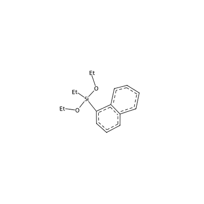 CCO[Si](CC)(OCC)c1cccc2ccccc12